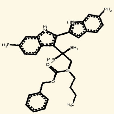 BC(B)(CN(CCCC)C(=O)OCc1ccccc1)c1c(-c2cc3ccc(P)cc3[nH]2)[nH]c2cc(P)ccc12